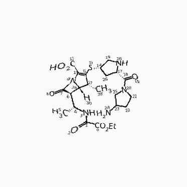 CCOC(=O)C(=O)N[C@H](C)[C@H]1C(=O)N2C(C(=O)O)=C(S[C@@H]3CN[C@H](C(=O)N4CCC(N)C4)C3)[C@H](C)[C@H]12